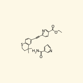 CCOC(=O)c1ccc(C#Cc2ccc3c(c2)C(C)(C)CCS3)nc1.NC(=O)c1cccnc1